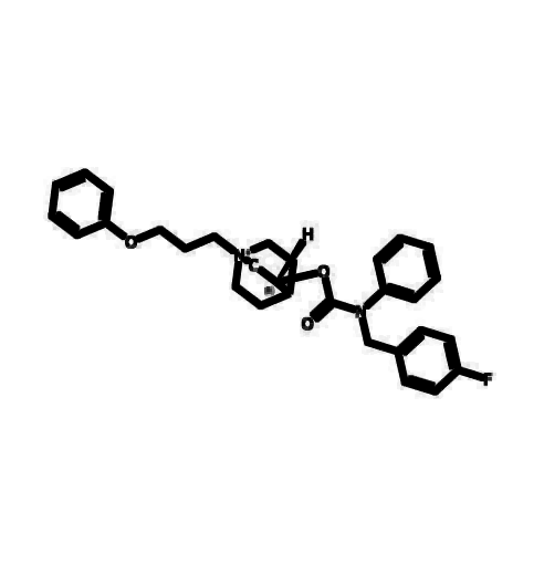 O=C(O[C@H]1C[N+]2(CCCOc3ccccc3)CCC1CC2)N(Cc1ccc(F)cc1)c1ccccc1